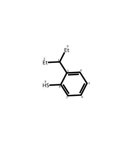 CCC(CC)c1ccccc1S